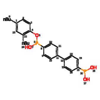 CCCCc1ccc(OP(O)c2ccc(-c3ccc(P(O)O)cc3)cc2)c(CCCC)c1